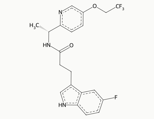 C[C@@H](NC(=O)CCc1c[nH]c2ccc(F)cc12)c1ccc(OCC(F)(F)F)cn1